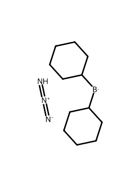 [B](C1CCCCC1)C1CCCCC1.[N-]=[N+]=N